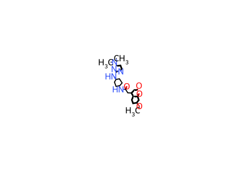 COc1ccc2c(CC(=O)NC3CCC(Nc4nccc(N(C)C)n4)CC3)cc(=O)oc2c1